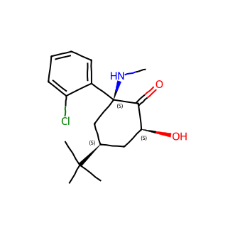 CN[C@]1(c2ccccc2Cl)C[C@H](C(C)(C)C)C[C@H](O)C1=O